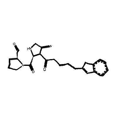 O=C[C@@H]1CCCN1C(=O)[C@H]1NCC(=S)C1C(=O)CCCCC1=Cc2ccccc2C1